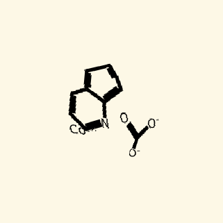 O=C([O-])[O-].[Co+2].c1ccc2ncccc2c1